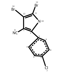 N#CC1=C(c2ccc(Cl)cc2)[N]C(Br)=C1Br